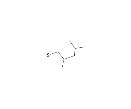 CC(C)CC(C)C[S]